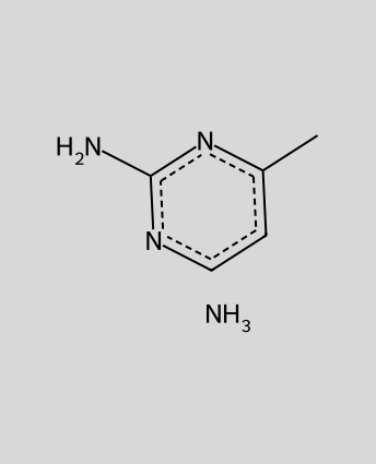 Cc1ccnc(N)n1.N